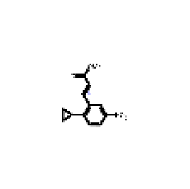 COC(=O)/C=C/c1cc([N+](=O)[O-])ccc1C1CC1